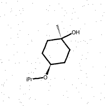 CC(C)O[C@H]1CC[C@@](C)(O)CC1